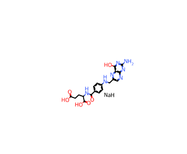 Nc1nc(O)c2nc(CNc3ccc(C(=O)NC(CCC(=O)O)C(=O)O)cc3)cnc2n1.[NaH]